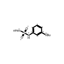 CCCCCCS(=O)(=O)Nc1cccc(CCCC)c1